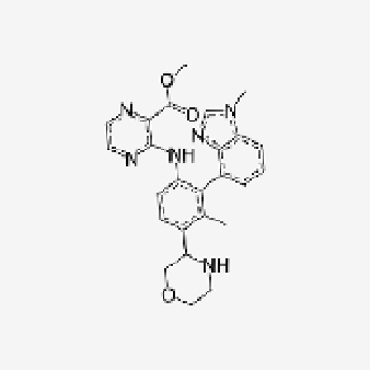 COC(=O)c1nccnc1Nc1ccc(C2COCCN2)c(C)c1-c1cccc2c1ncn2C